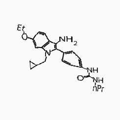 CCCNC(=O)Nc1ccc(-c2c(N)c3ccc(OCC)cc3n2CC2CC2)cc1